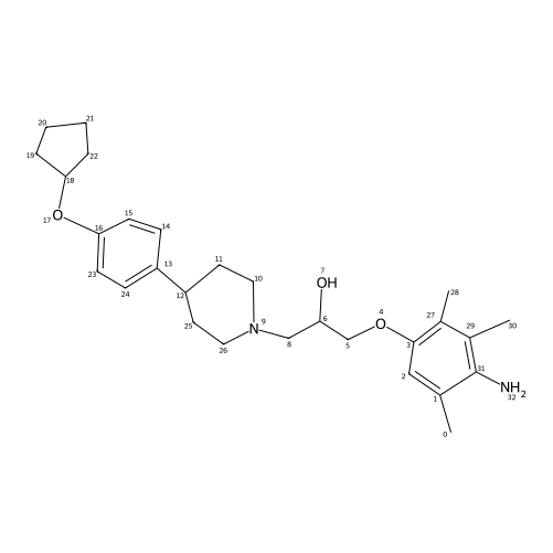 Cc1cc(OCC(O)CN2CCC(c3ccc(OC4CCCC4)cc3)CC2)c(C)c(C)c1N